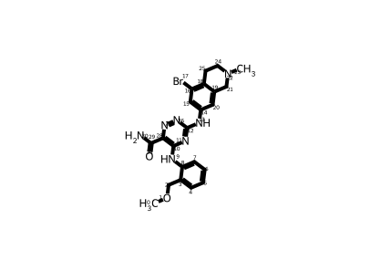 COCc1ccccc1Nc1nc(Nc2cc(Br)c3c(c2)CN(C)CC3)nnc1C(N)=O